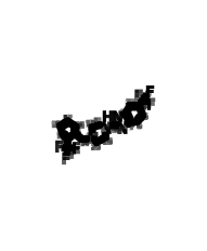 FC(F)(F)c1ccc2nc(N3CCN(Cc4ccccc4C(F)(F)F)CC3)[nH]c2c1